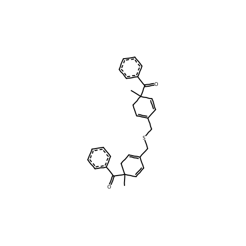 CC1(C(=O)c2ccccc2)C=CC(CSCC2=CCC(C)(C(=O)c3ccccc3)C=C2)=CC1